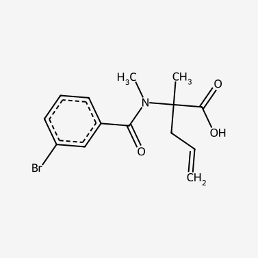 C=CCC(C)(C(=O)O)N(C)C(=O)c1cccc(Br)c1